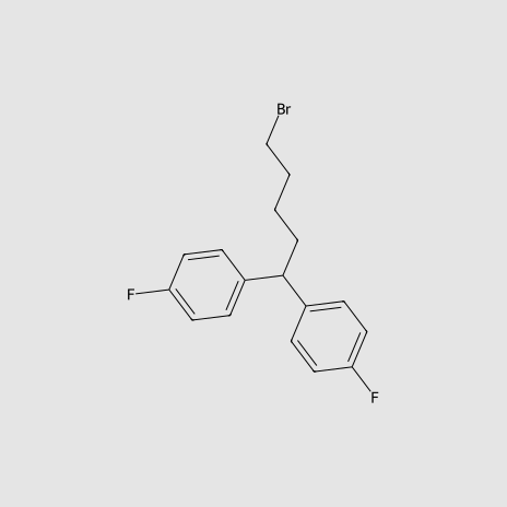 Fc1ccc(C(CCCCBr)c2ccc(F)cc2)cc1